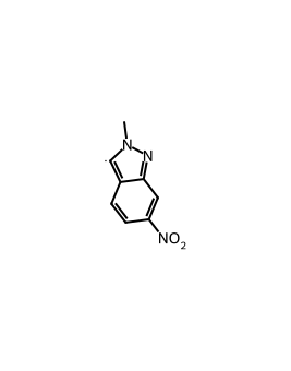 Cn1[c]c2ccc([N+](=O)[O-])cc2n1